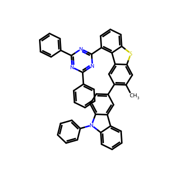 Cc1cc2sc3cccc(-c4nc(-c5ccccc5)nc(-c5ccccc5)n4)c3c2cc1-c1ccc2c(c1)c1ccccc1n2-c1ccccc1